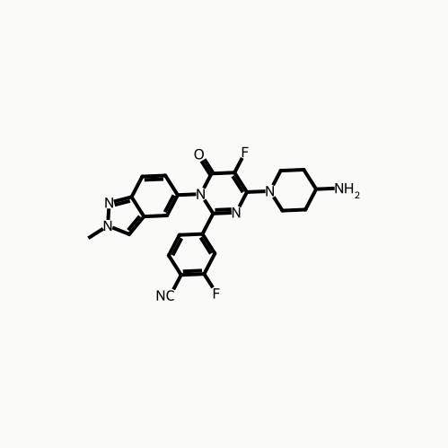 Cn1cc2cc(-n3c(-c4ccc(C#N)c(F)c4)nc(N4CCC(N)CC4)c(F)c3=O)ccc2n1